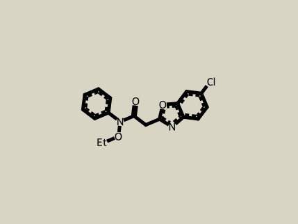 CCON(C(=O)Cc1nc2ccc(Cl)cc2o1)c1ccccc1